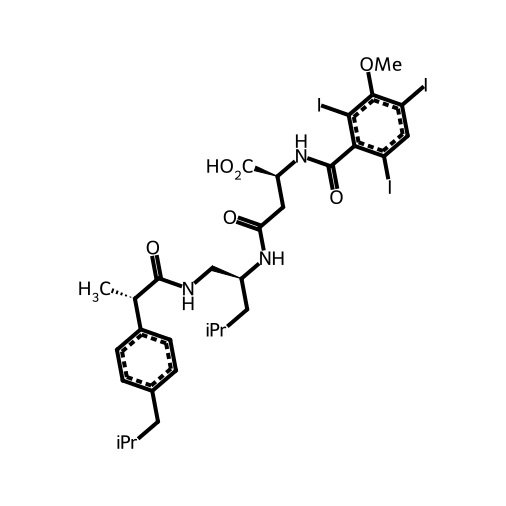 COc1c(I)cc(I)c(C(=O)N[C@@H](CC(=O)N[C@H](CNC(=O)[C@@H](C)c2ccc(CC(C)C)cc2)CC(C)C)C(=O)O)c1I